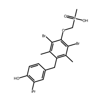 Cc1c(Br)c(OCP(C)(=O)O)c(Br)c(C)c1Cc1ccc(O)c(C(C)C)c1